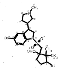 CCC1CCC(C=O)(CS(=O)(=O)N2CC(C3CCN(C)C3)c3cc(Br)ccc32)C1(C)C